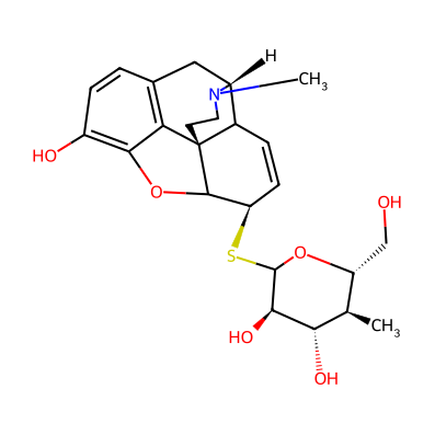 C[C@H]1[C@H](O)[C@@H](O)C(S[C@@H]2C=CC3[C@H]4Cc5ccc(O)c6c5[C@@]3(CCN4C)C2O6)O[C@@H]1CO